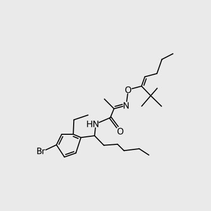 CCC/C=C(/O/N=C(\C)C(=O)NC(CCCCC)c1ccc(Br)cc1CC)C(C)(C)C